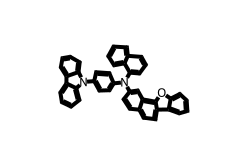 c1ccc2c(N(c3ccc(-n4c5ccccc5c5ccccc54)cc3)c3ccc4ccc5c6ccccc6oc5c4c3)cccc2c1